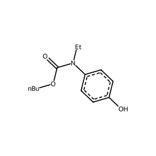 CCCCOC(=O)N(CC)c1ccc(O)cc1